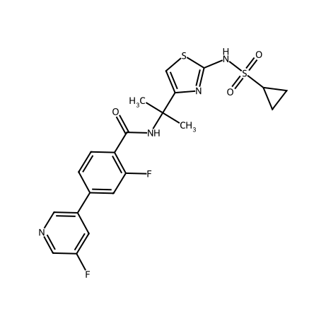 CC(C)(NC(=O)c1ccc(-c2cncc(F)c2)cc1F)c1csc(NS(=O)(=O)C2CC2)n1